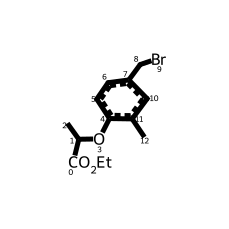 CCOC(=O)C(C)Oc1ccc(CBr)cc1C